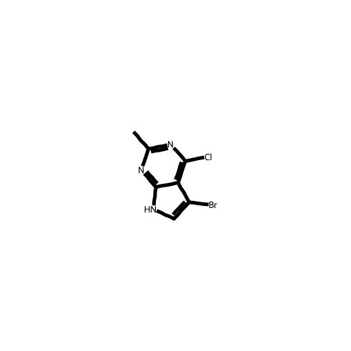 Cc1nc(Cl)c2c(Br)c[nH]c2n1